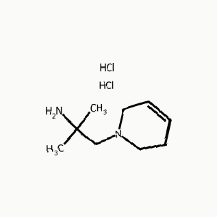 CC(C)(N)CN1CC=CCC1.Cl.Cl